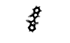 O=C1c2ccccc2NC1C1Sc2ccccc2C1=S